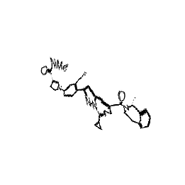 CNC(=O)[C@H]1CCN(c2ccc(-c3cc4cc(C(=O)N5CCc6ccccc6[C@H]5C)nc(C5CC5)n4n3)c(F)c2)C1